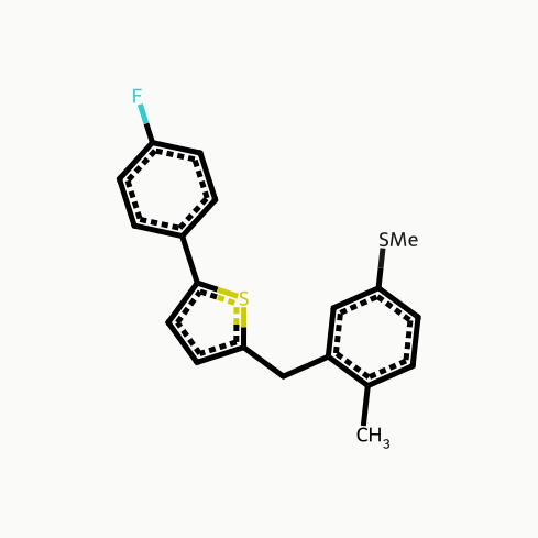 CSc1ccc(C)c(Cc2ccc(-c3ccc(F)cc3)s2)c1